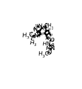 COc1nsc(NC(=O)N2CC3CC(N(C)c4ncnc5c4ccn5C(C)C)CC3C2)n1